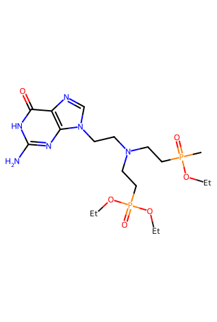 CCOP(C)(=O)CCN(CCn1cnc2c(=O)[nH]c(N)nc21)CCP(=O)(OCC)OCC